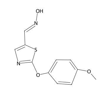 COc1ccc(Oc2ncc(C=NO)s2)cc1